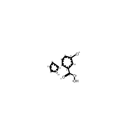 O=C(OO)c1cccc(Cl)c1.c1ccsc1